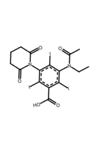 CCN(C(C)=O)c1c(I)c(C(=O)O)c(I)c(N2C(=O)CCCC2=O)c1I